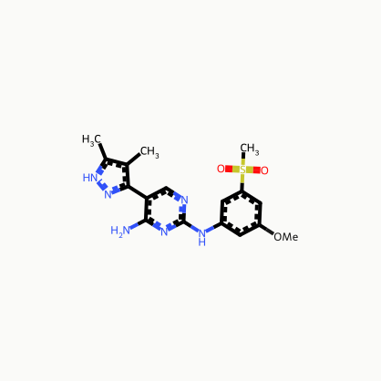 COc1cc(Nc2ncc(-c3n[nH]c(C)c3C)c(N)n2)cc(S(C)(=O)=O)c1